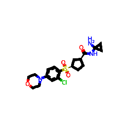 NC1(NC(=O)[C@H]2CC[C@H](S(=O)(=O)c3ccc(N4CCOCC4)cc3Cl)C2)CC1